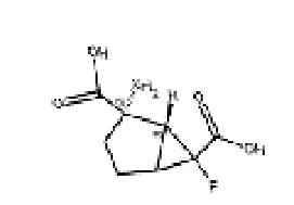 N[C@@]1(C(=O)O)CCC2[C@H]1C2(F)C(=O)O